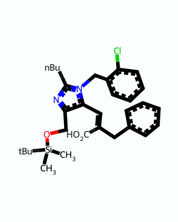 CCCCc1nc(CO[Si](C)(C)C(C)(C)C)c(C=C(Cc2ccccc2)C(=O)O)n1Cc1ccccc1Cl